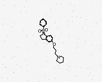 O=S(=O)(c1ccccc1)N1CCc2cc(OCCCN3CCCCC3)ccc21